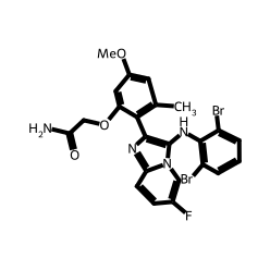 COc1cc(C)c(-c2nc3ccc(F)cn3c2Nc2c(Br)cccc2Br)c(OCC(N)=O)c1